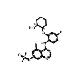 Cc1cc(N=S(C)(C)=O)cc2ncnc(Nc3ccc(F)cc3O[C@@H]3CCCC[C@@H]3O)c12